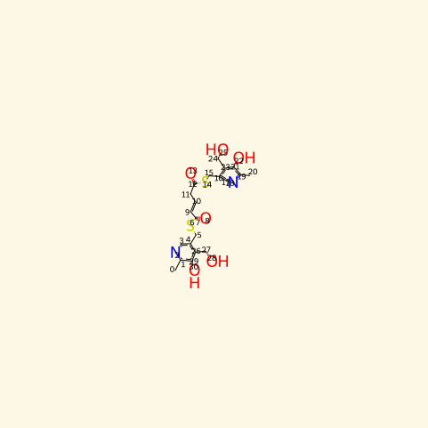 Cc1ncc(CSC(=O)C=CCC(=O)SCc2cnc(C)c(O)c2CO)c(CO)c1O